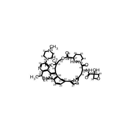 CCn1c(-c2cc(N3CCN(C)CC3)cnc2[C@H](C)OC)c2c3cc(ccc31)-c1csc(n1)C[C@H](NC(=O)C1(O)COC1)C(=O)N1CCC[C@H](N1)C(=O)OCC(C)(C)C2